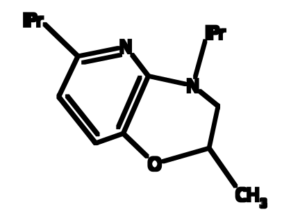 CC1CN(C(C)C)c2nc(C(C)C)ccc2O1